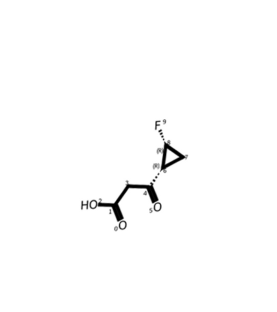 O=C(O)CC(=O)[C@H]1C[C@H]1F